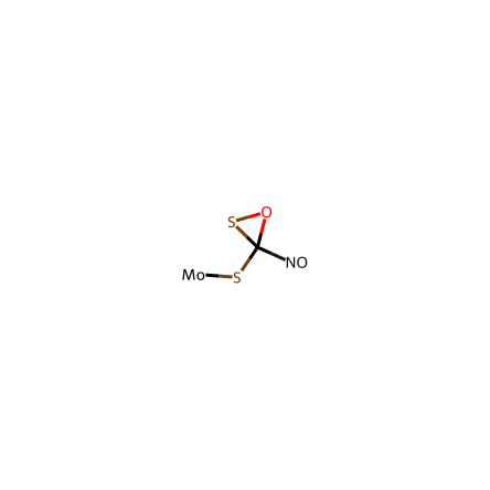 O=NC1([S][Mo])OS1